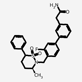 C[C@H]1CCC(c2ccccc2)S(=O)(=O)N1Cc1ccc(-c2cccc(CC(N)=O)c2)cc1F